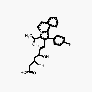 CC(C)c1c(C=CC(O)CC(O)CC(=O)O)c(-c2ccc(F)cc2)c2c3ccccc3ccn12